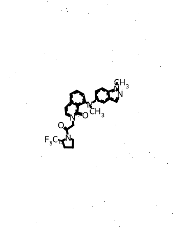 CN(c1ccc2c(cnn2C)c1)c1cccc2ccn(CC(=O)N3CCC[C@H]3C(F)(F)F)c(=O)c12